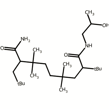 CC(O)CNC(=O)C(CC(C)(C)CCC(C)(C)C(CC(C)(C)C)C(N)=O)C(C)(C)C